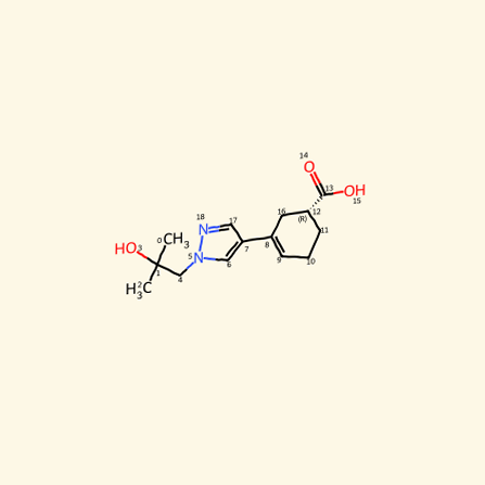 CC(C)(O)Cn1cc(C2=CCC[C@@H](C(=O)O)C2)cn1